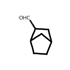 O=[C]C1CC2CCC1C2